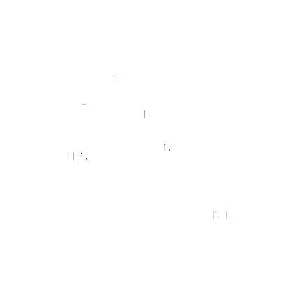 Bc1ccc(C(N)C(F)(F)F)nc1